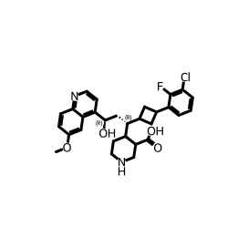 COc1ccc2nccc([C@H](O)C[C@H](C3CC(c4cccc(Cl)c4F)C3)C3CCNCC3C(=O)O)c2c1